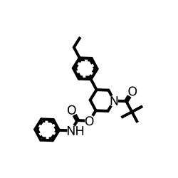 CCc1ccc(C2CC(OC(=O)Nc3ccccc3)CN(C(=O)C(C)(C)C)C2)cc1